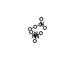 c1ccc(-c2cc(-c3ccc(-c4cccc5ccc(-c6nc(-c7ccccc7)nc(-c7ccccc7)n6)cc45)cc3)cc(-c3ccccc3)n2)cc1